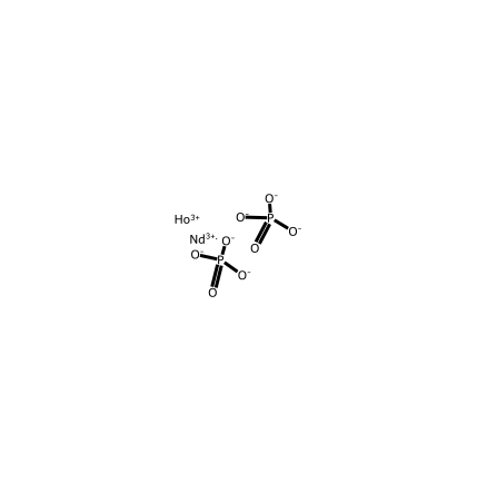 O=P([O-])([O-])[O-].O=P([O-])([O-])[O-].[Ho+3].[Nd+3]